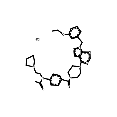 CCOc1cccc(Cn2ncc3c(N4CCN(C(=O)c5ccc(N(CCN6CCCC6)C(C)=O)cc5)CC4)ncnc32)c1.Cl